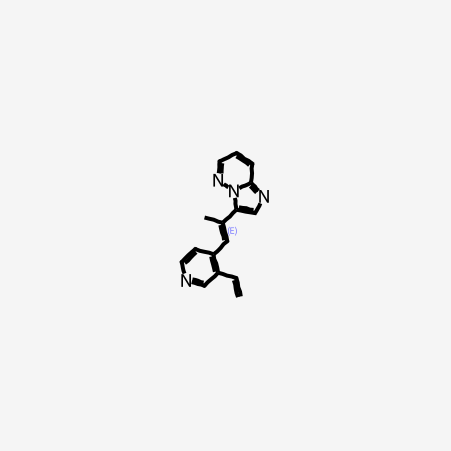 C=Cc1cnccc1/C=C(\C)c1cnc2cccnn12